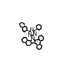 c1ccc(-c2nc(-c3ccc4ccccc4c3)nc(-n3c4c5ccccc5ccc4c4c5ccccc5c5ccccc5c43)n2)cc1